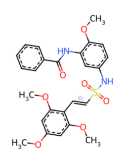 COc1cc(OC)c(/C=C/S(=O)(=O)Nc2ccc(OC)c(NC(=O)c3ccccc3)c2)c(OC)c1